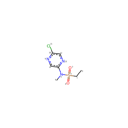 CCS(=O)(=O)N(C)c1cnc(Cl)cn1